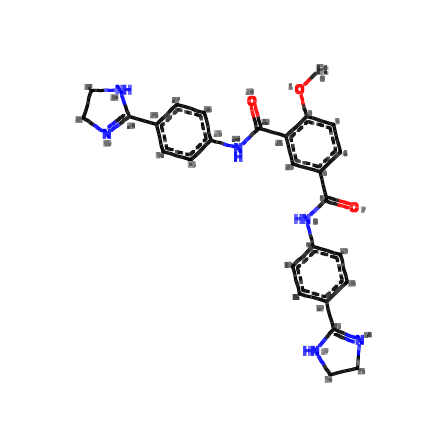 CCOc1ccc(C(=O)Nc2ccc(C3=NCCN3)cc2)cc1C(=O)Nc1ccc(C2=NCCN2)cc1